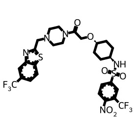 O=C(CO[C@H]1CC[C@H](NS(=O)(=O)c2ccc([N+](=O)[O-])c(C(F)(F)F)c2)CC1)N1CCN(Cc2nc3cc(C(F)(F)F)ccc3s2)CC1